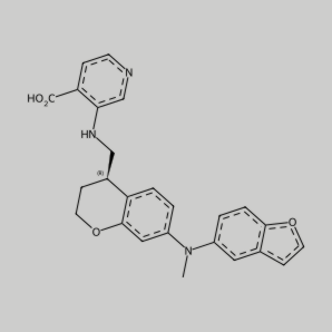 CN(c1ccc2c(c1)OCC[C@H]2CNc1cnccc1C(=O)O)c1ccc2occc2c1